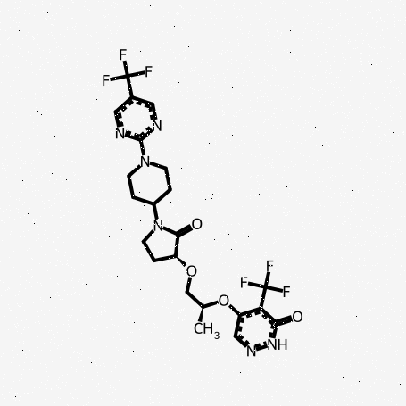 C[C@@H](CO[C@H]1CCN(C2CCN(c3ncc(C(F)(F)F)cn3)CC2)C1=O)Oc1cn[nH]c(=O)c1C(F)(F)F